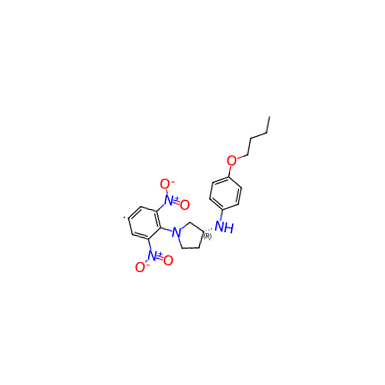 CCCCOc1ccc(N[C@@H]2CCN(c3c([N+](=O)[O-])c[c]cc3[N+](=O)[O-])C2)cc1